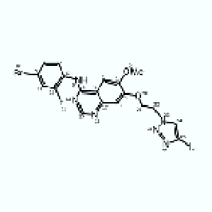 COc1cc2c(Nc3ccc(Br)cc3F)ncnc2cc1OCCn1cc(I)nn1